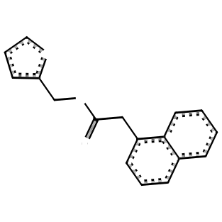 O=C(Cc1cccc2ccccc12)OCc1cccs1